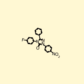 O=c1n(-c2ccc([N+](=O)[O-])cc2)nc(-c2ccccc2)n1-c1ccc(F)cc1